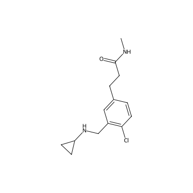 CNC(=O)CCc1ccc(Cl)c(CNC2CC2)c1